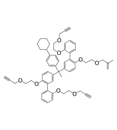 C#CCOCCOc1ccccc1-c1cc(C(C)(c2ccc(C3CCCCC3)cc2)c2ccc(OCCOCC(=C)C)c(-c3ccccc3OCCOCC#C)c2)ccc1OCCOCC#C